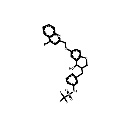 O=S(=O)(Nc1cccc(CC2COc3ccc(OCc4cc(F)c5ccccc5n4)cc3C2O)c1)C(F)(F)F